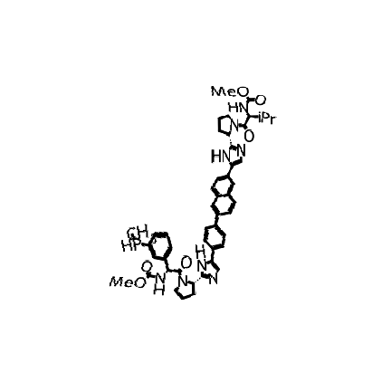 COC(=O)NC(C(=O)N1CCC[C@H]1c1ncc(-c2ccc3cc(-c4ccc(-c5cnc([C@@H]6CCCN6C(=O)[C@H](NC(=O)OC)c6cccc(PC)c6)[nH]5)cc4)ccc3c2)[nH]1)C(C)C